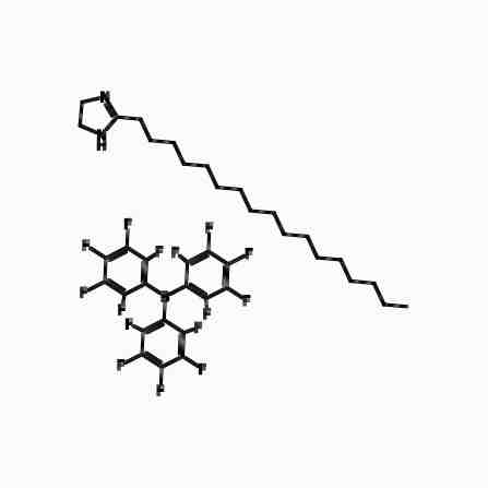 CCCCCCCCCCCCCCCCCC1=NCCN1.Fc1c(F)c(F)c(B(c2c(F)c(F)c(F)c(F)c2F)c2c(F)c(F)c(F)c(F)c2F)c(F)c1F